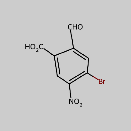 O=Cc1cc(Br)c([N+](=O)[O-])cc1C(=O)O